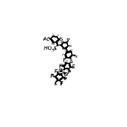 CC(=O)c1ccc(Sc2ccc(-c3ccc(Sc4c(F)c(F)c(S(=O)(=O)c5c(F)c(F)c(C)c(F)c5F)c(F)c4F)c(C)c3)cc2C)c(CS(=O)(=O)O)c1